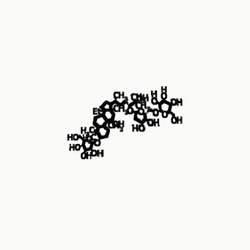 CC[C@@]12CCC([C@H](C)CC[C@@H](O[C@H]3C[C@@H](O)[C@H](O)[C@@H](CO[C@H]4O[C@H](CO)[C@@H](O)[C@H](O)[C@H]4O)O3)C(C)(C)O)[C@@]1(C)C[C@@H](O)[C@@]1(C)C3CC[C@H](O[C@@H]4O[C@H](CO)[C@@H](O)[C@H](O)[C@H]4O)C(C)(C)C3=CCC12